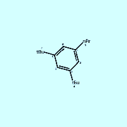 CCCc1cc(C(C)(C)C)[c]c(C(C)(C)C)c1